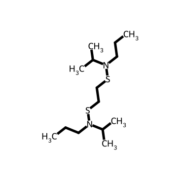 CCCN(SCCSN(CCC)C(C)C)C(C)C